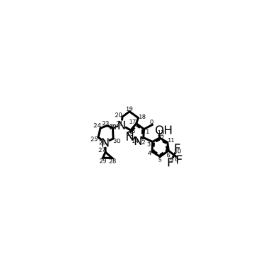 Cc1c(-c2ccc(C(F)(F)F)cc2O)nnc2c1CCCN2[C@@H]1CCCN(C2CC2)C1